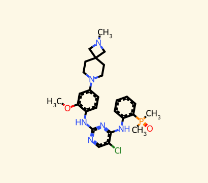 COc1cc(N2CCC3(CC2)CN(C)C3)ccc1Nc1ncc(Cl)c(Nc2ccccc2P(C)(C)=O)n1